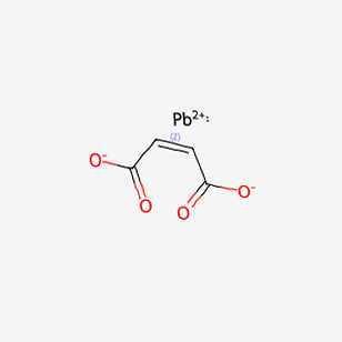 O=C([O-])/C=C\C(=O)[O-].[Pb+2]